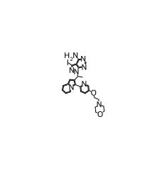 CC(c1cc2ccccn2c1-c1ccc(OCCN2CCOCC2)cn1)n1nc(I)c2c(N)ncnc21